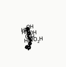 Cc1ccc(-c2ccc([C@H](CC(=O)O)NC(=O)CNC(=O)c3cc(O)cc(NC4=NCC(O)CN4)c3)cc2)c2ccccc12